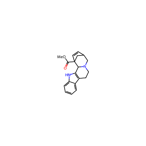 COC(=O)C12C=CC(CN3CCc4c([nH]c5ccccc45)C31)C2